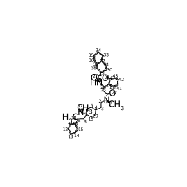 CN(CCC1CCC(CCc2ccccc2)(N(C)C)CC1)C(=O)CC(NS(=O)(=O)c1ccc2ccccc2c1)c1ccccc1